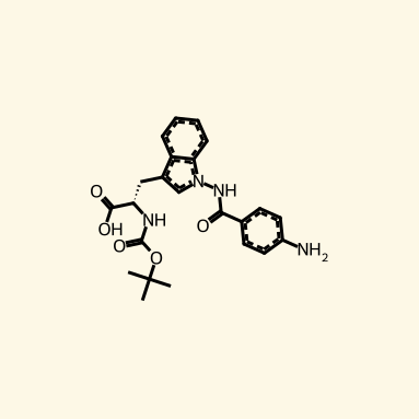 CC(C)(C)OC(=O)N[C@@H](Cc1cn(NC(=O)c2ccc(N)cc2)c2ccccc12)C(=O)O